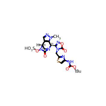 Cn1ncc2c1[C@@H](c1noc(=O)n1Cc1nc(NC(=O)OC(C)(C)C)cs1)N1C[C@@H]2N(OS(=O)(=O)O)C1=O